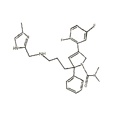 Cc1c[nH]c(CNCCCC2(c3ccccc3)C=C(c3cc(F)ccc3F)CN2C(=O)N(C)C)n1